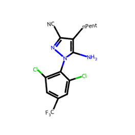 CCCCCc1c(C#N)nn(-c2c(Cl)cc(C(F)(F)F)cc2Cl)c1N